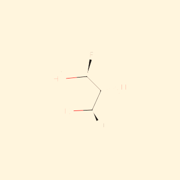 CC[C@@H](O)[C@@H](O)[C@@H](O)CC